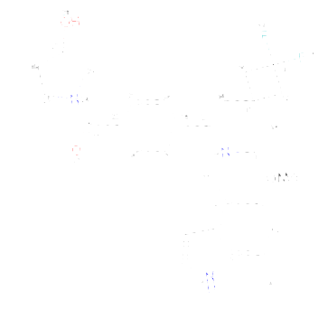 COc1cc(C)c2[nH]ccc2c1CN1CCC2(CC1c1ccc(C(=O)N3CCC(O)C3)cc1)CC(F)(F)C2